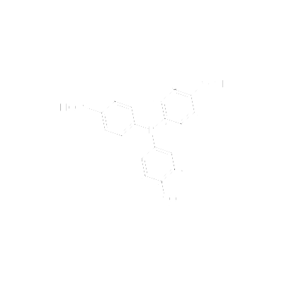 O=S(=O)(O)c1ccc(P(c2ccc(S(=O)(=O)O)cc2)c2ccc(S(=O)(=O)O)cc2)cc1